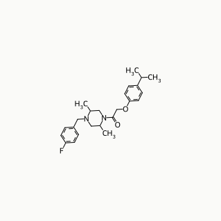 CC(C)c1ccc(OCC(=O)N2CC(C)N(Cc3ccc(F)cc3)CC2C)cc1